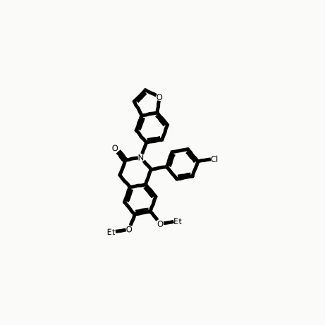 CCOc1cc2c(cc1OCC)C(c1ccc(Cl)cc1)N(c1ccc3occc3c1)C(=O)C2